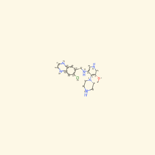 COC1=C(N2CCNCC2)C(NCc2cc3nccnc3cc2Cl)=CNC1